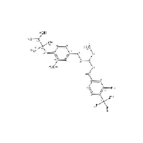 CCC(COc1ccc(C(F)(F)F)c(F)c1)CSc1ccc(OC(C)(C)C(=O)O)c(C)c1